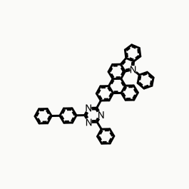 c1ccc(-c2ccc(-c3nc(-c4ccccc4)nc(-c4ccc5c(c4)c4ccccc4c4c5ccc5c6ccccc6n(-c6ccccc6)c54)n3)cc2)cc1